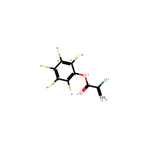 C=C(Cl)C(=O)Oc1c(F)c(F)c(F)c(F)c1F